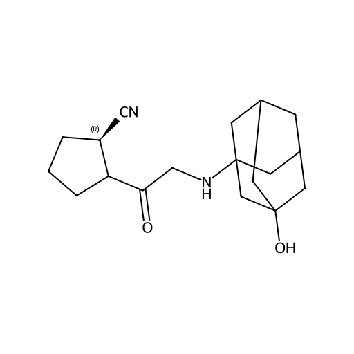 N#C[C@@H]1CCCC1C(=O)CNC12CC3CC(CC(O)(C3)C1)C2